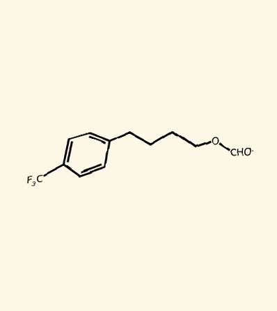 O=[C]OCCCCc1ccc(C(F)(F)F)cc1